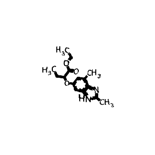 CCOC(=O)C(CC)Oc1cc(C)c2nc(C)[nH]c2c1